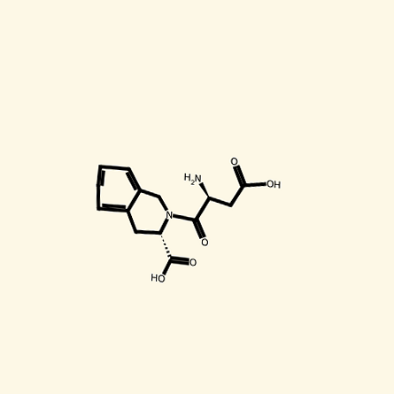 N[C@@H](CC(=O)O)C(=O)N1Cc2ccccc2C[C@H]1C(=O)O